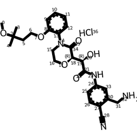 COC(C)(C)CCOc1ccccc1N1CCO[C@H]([C@@H](O)C(=O)Nc2ccc(C#N)c(CN)c2)C1=O.Cl